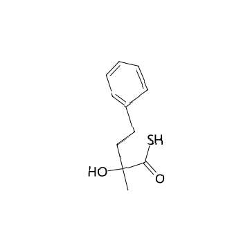 CC(O)(CCc1ccccc1)C(=O)S